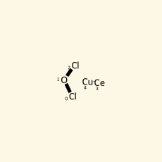 ClOCl.[Ce].[Cu]